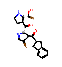 O=C(C1Cc2ccccc2C1)C1C(=S)CN[C@@H]1C(=O)C1CCN[C@@H]1C(O)=S